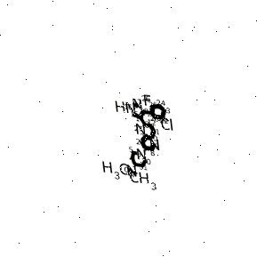 CN(C)C1CCN(c2cnc3ccc(-c4c[nH]nc4-c4cc(Cl)ccc4F)nc3c2)CC1